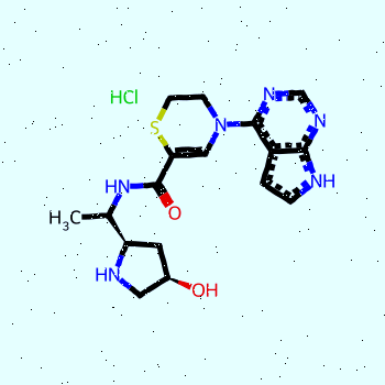 CC(NC(=O)C1=CN(c2ncnc3[nH]ccc23)CCS1)[C@H]1C[C@@H](O)CN1.Cl